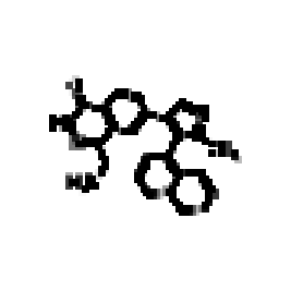 Cn1ncc(-c2ccc3c(=O)[nH]nc(CN)c3c2)c1-c1cccc2ccncc12